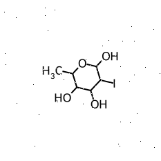 CC1OC(O)C(I)C(O)C1O